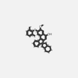 COc1cc2c(O)cc3c(c2cc1Sc1c(C)cccc1C)-c1ccccc1C31CC2CCCCC2C1